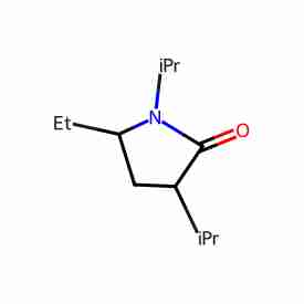 CCC1CC(C(C)C)C(=O)N1C(C)C